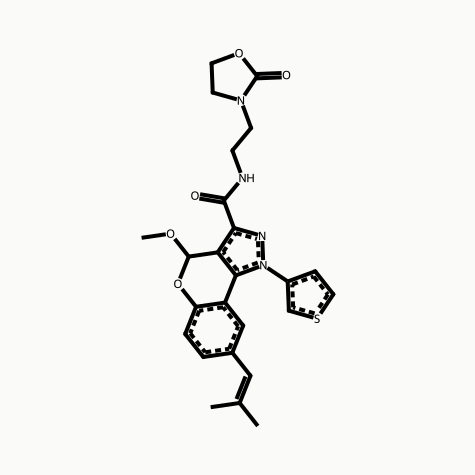 COC1Oc2ccc(C=C(C)C)cc2-c2c1c(C(=O)NCCN1CCOC1=O)nn2-c1ccsc1